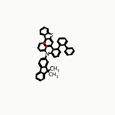 CC1(C)c2ccccc2-c2ccc(N(c3ccccc3)c3cccc(-c4ccccc4-c4ccccc4)c3-c3ccc4c(c3)sc3ccccc34)cc21